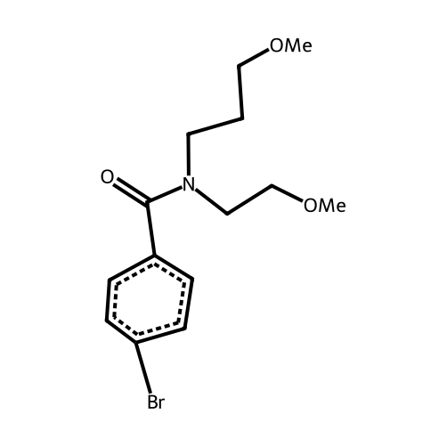 COCCCN(CCOC)C(=O)c1ccc(Br)cc1